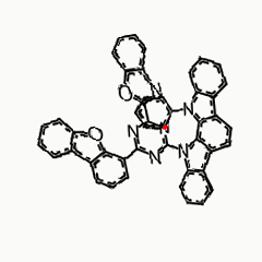 c1ccc(-n2c3ccccc3c3ccc4c5ccccc5n(-c5nc(-c6nc7ccccc7o6)nc(-c6cccc7c6oc6ccccc67)n5)c4c32)cc1